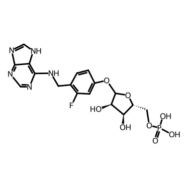 O=P(O)(O)OC[C@H]1OC(Oc2ccc(CNc3ncnc4nc[nH]c34)c(F)c2)[C@H](O)[C@@H]1O